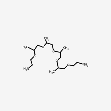 CC(COCCN)OCC(C)OCC(C)OCC(C)OCCN